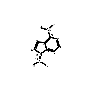 CN(C)c1cccc2c1ccn2N(C)C